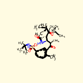 Cc1ccc(S(=O)(=O)NC(C)(C)C)cc1C(=O)[C@H](C)[C@H]1NC(=O)[C@@H]1[C@@](C)(O[SiH](C)C)C(C)(C)C